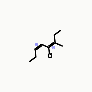 CC/C=C\C(Cl)=C(\C)CC